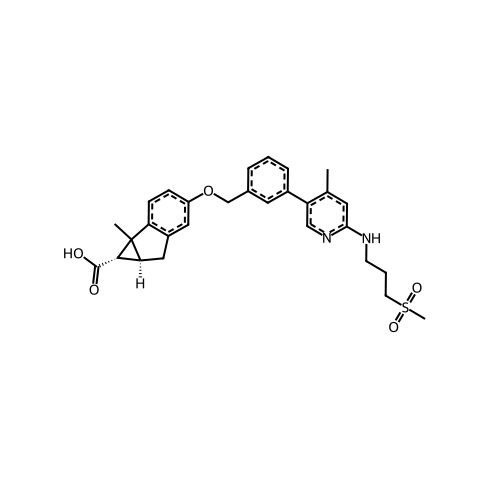 Cc1cc(NCCCS(C)(=O)=O)ncc1-c1cccc(COc2ccc3c(c2)C[C@H]2[C@H](C(=O)O)C32C)c1